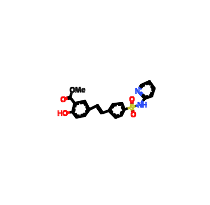 COC(=O)c1cc(C=Cc2ccc(S(=O)(=O)Nc3ccccn3)cc2)ccc1O